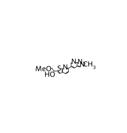 COCC(O)c1cc2ccc(-c3cnc4nn(C)cc4c3)nc2s1